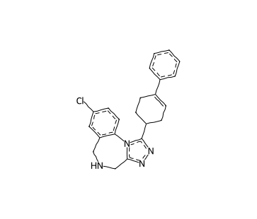 Clc1ccc2c(c1)CNCc1nnc(C3CC=C(c4ccccc4)CC3)n1-2